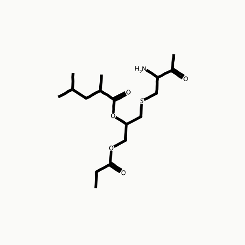 CCC(=O)OCC(CSCC(N)C(C)=O)OC(=O)C(C)CC(C)C